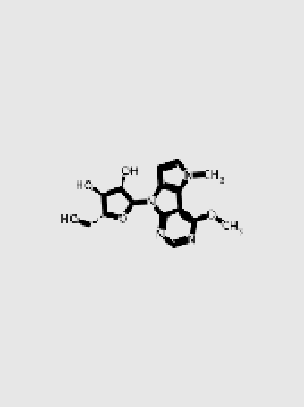 COc1ncnc2c1c1c(ccn1C)n2C1O[C@H](CO)[C@@H](O)[C@H]1O